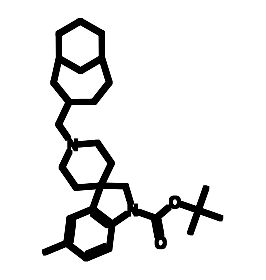 Cc1ccc2c(c1)C1(CCN(CC3CCC4CCCC(C4)C3)CC1)CN2C(=O)OC(C)(C)C